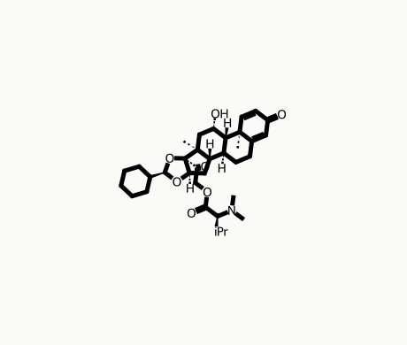 CC(C)[C@@H](C(=O)OCC(=O)[C@@]12O[C@H](C3CCCCC3)O[C@@H]1C[C@H]1[C@@H]3CCC4=CC(=O)C=C[C@]4(C)[C@H]3[C@@H](O)C[C@@]12C)N(C)C